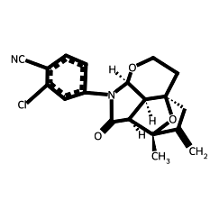 C=C1C[C@@]23CCO[C@H]4[C@@H]2[C@H](C(=O)N4c2ccc(C#N)c(Cl)c2)[C@]1(C)O3